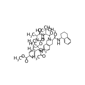 COC(=O)c1ccc(CN(C(C)=O)c2ccc3c(c2)CN(C(=O)[C@@H](NC(=O)[C@H](C)N(C)C(=O)OC(C)(C)C)C(C)(C)C)C(C(=O)NC2CCCc4ccccc42)C3)cc1